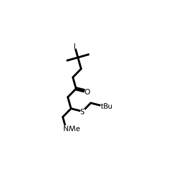 CNCC(CC(=O)CCC(C)(C)I)SCC(C)(C)C